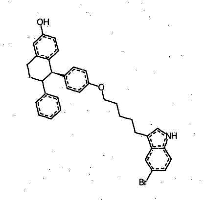 Oc1ccc2c(c1)CCC(c1ccccc1)[C@@H]2c1ccc(OCCCCCc2c[nH]c3ccc(Br)cc23)cc1